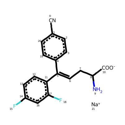 N#Cc1ccc(/C(=C\CC(N)C(=O)[O-])c2ccc(F)cc2F)cc1.[Na+]